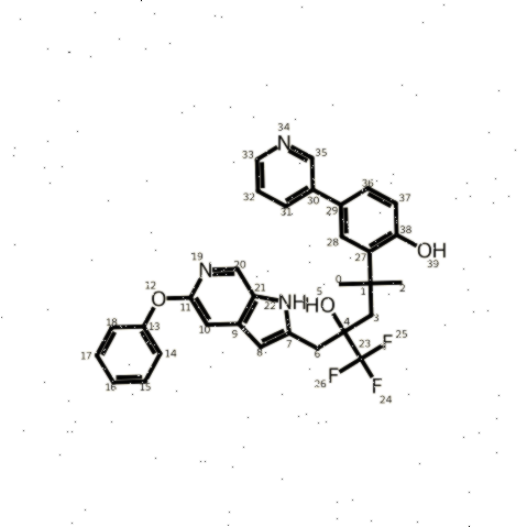 CC(C)(CC(O)(Cc1cc2cc(Oc3ccccc3)ncc2[nH]1)C(F)(F)F)c1cc(-c2cccnc2)ccc1O